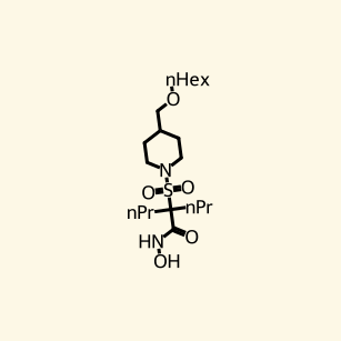 CCCCCCOCC1CCN(S(=O)(=O)C(CCC)(CCC)C(=O)NO)CC1